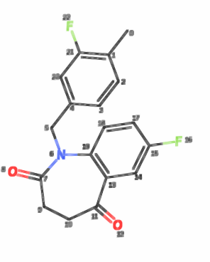 Cc1ccc(CN2C(=O)CCC(=O)c3cc(F)ccc32)cc1F